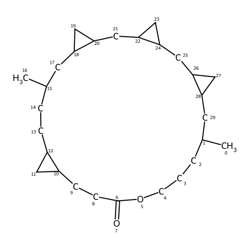 CC1CCCOC(=O)CCC2CC2CCC(C)CC2CC2CC2CC2CC2CC2C1